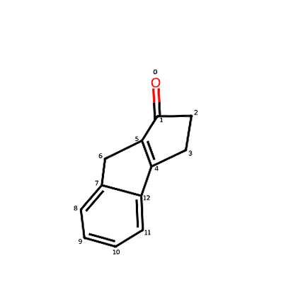 O=C1CCC2=C1Cc1ccccc12